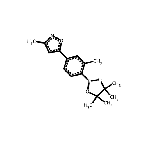 Cc1cc(-c2ccc(B3OC(C)(C)C(C)(C)O3)c(C)c2)on1